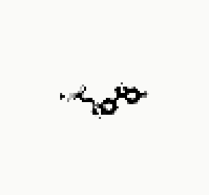 NC(=O)CCn1cnc2ccc(-c3c[nH]c4cc(F)ccc34)cc21